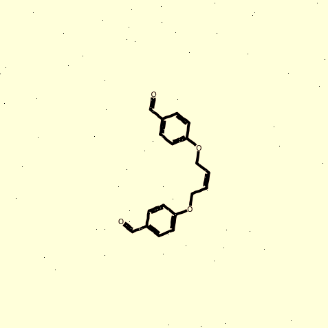 O=Cc1ccc(OC/C=C\COc2ccc(C=O)cc2)cc1